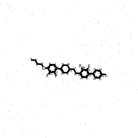 CCCCOc1ccc(C2=CCC(CCc3ccc(-c4ccc(C)cc4)c(F)c3F)CC2)c(F)c1F